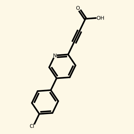 O=C(O)C#Cc1ccc(-c2ccc(Cl)cc2)cn1